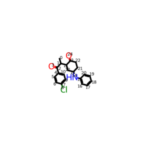 CC(C(=O)c1ccc(Cl)cc1)C1CC(Nc2ccccc2)CCC1=O